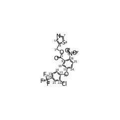 O=C(OCc1cncs1)c1cc(Oc2ccc(C(F)(F)F)cc2Cl)ccc1[N+](=O)[O-]